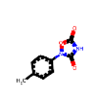 Cc1ccc(-n2oc(=O)[nH]c2=O)cc1